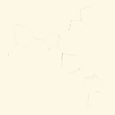 Nc1cc(N2CCC(c3nc(-c4cccc(F)c4)cn3CCN3CCCC3)CC2)ncn1